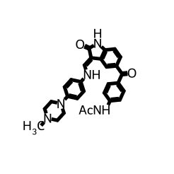 CC(=O)Nc1ccc(C(=O)c2ccc3c(c2)/C(=C\Nc2ccc(N4CCN(C)CC4)cc2)C(=O)N3)cc1